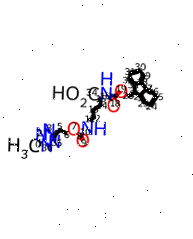 Cc1nnc(CCOC(=O)NCCCCC(NC(=O)OCC2c3ccccc3-c3ccccc32)C(=O)O)nn1